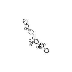 O=C(NS(=O)(=O)c1ccc(OCC2CCN(C(=O)CN3CCOCC3)CC2)c([N+](=O)[O-])c1)c1ccccc1